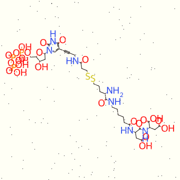 NC(CCCSSCCC(=O)NCC#Cc1cn(C2CC(O)C(COP(=O)(O)OP(=O)(O)OP(=O)(O)O)O2)c(=O)[nH]c1=O)C(=O)NCCCCCC(=O)NC(CC(=O)O)C(=O)NC(CC(=O)O)C(=O)O